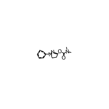 CN(C)C(=O)OC1=NN(c2ccccc2)CC1